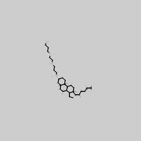 CC(C)[C@H](O)CC[C@@H](C)[C@H]1CCC2C3C(CC[C@@]21C)[C@@]1(C)CC[C@H](NCCCNCCNCCCN)C[C@@H]1C[C@H]3O